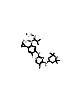 CC(C)/C(=N/N)N(N)c1cc(Nc2ncc(F)c(NC3CC(C)(C)NC(C)(C)C3)n2)c(F)cc1C1CC1